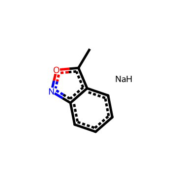 Cc1onc2ccccc12.[NaH]